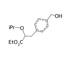 CCOC(=O)C(Cc1ccc(CO)cc1)OC(C)C